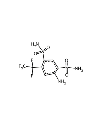 Nc1cc(C(F)(F)C(F)(F)F)c(S(N)(=O)=O)cc1S(N)(=O)=O